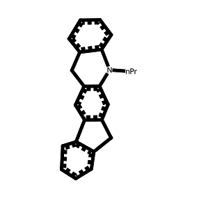 CCCN1c2ccccc2Cc2cc3c(cc21)Cc1ccccc1-3